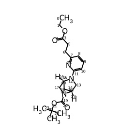 CCOC(=O)CCc1cccc(N2C[C@H]3C[C@@H]2CN3C(=O)OC(C)(C)C)n1